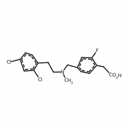 CN(CCc1ccc(Cl)cc1Cl)Cc1ccc(CC(=O)O)c(F)c1